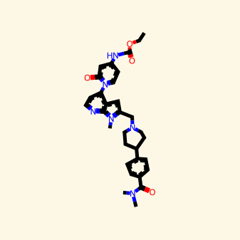 CCOC(=O)Nc1ccn(-c2ccnc3c2cc(CN2CCC(c4ccc(C(=O)N(C)C)cc4)CC2)n3C)c(=O)c1